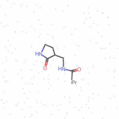 CC(C)C(=O)NCC1CCNC1=O